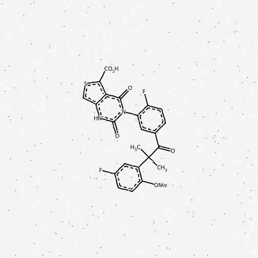 COc1ccc(F)cc1C(C)(C)C(=O)c1ccc(F)c(-n2c(=O)[nH]c3csc(C(=O)O)c3c2=O)c1